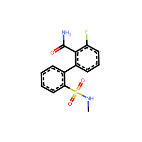 CNS(=O)(=O)c1ccccc1-c1cc[c]c(F)c1C(N)=O